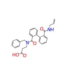 C=CCNC(=O)c1ccccc1-c1ccccc1C(=O)N(CCC(=O)O)Cc1ccccc1